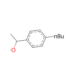 CCCCc1ccc(C(C)[O])cc1